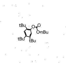 CCCCOC(=O)Oc1cc(C(C)(C)C)c(C(C)(C)C)cc1C(C)(C)C